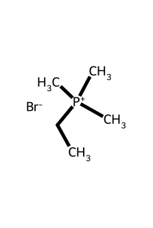 CC[P+](C)(C)C.[Br-]